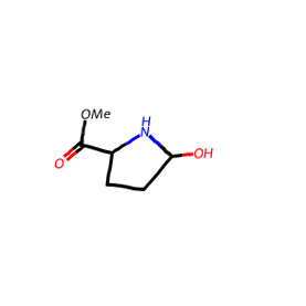 COC(=O)C1CCC(O)N1